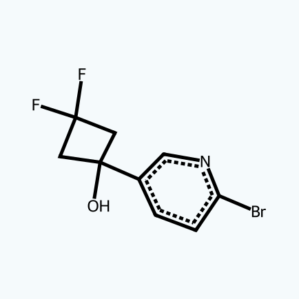 OC1(c2ccc(Br)nc2)CC(F)(F)C1